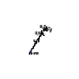 CCCCCCC/C=C/CCCCCCC(=O)NCCCC[C@H](N)C(=O)OCC[Si](C)(C)C